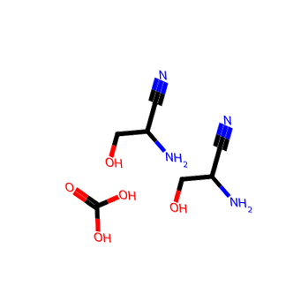 N#CC(N)CO.N#CC(N)CO.O=C(O)O